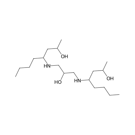 CCCCC(CC(C)O)NCC(O)CNC(CCCC)CC(C)O